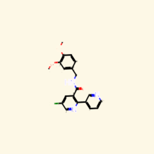 COc1ccc(CNC(=O)c2cc(Cl)cnc2-c2cccnc2)cc1OC